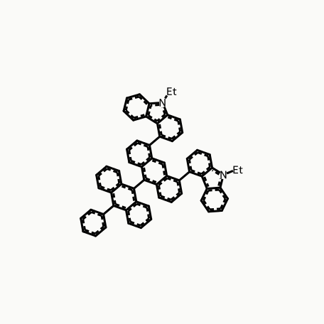 CCn1c2ccccc2c2c(-c3cccc4c(-c5c6ccccc6c(-c6ccccc6)c6ccccc56)c5cccc(-c6cccc7c6c6ccccc6n7CC)c5cc34)cccc21